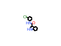 O=C(Nc1cccc(Cl)c1)c1c[nH]c2ccccc12